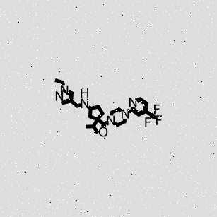 CCn1cc(CNC2CCC(C(=O)N3CCN(c4cc(C(F)(F)F)ccn4)CC3)(C(C)C)C2)cn1